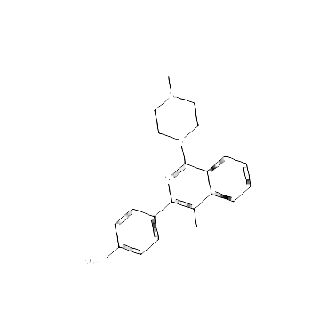 CCN1CCN(c2nc(-c3ccc(OC)cc3)c(C)c3ccccc23)CC1.Cl